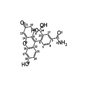 NC(=O)c1ccc(C2=C3CCC(=O)C=C3Oc3cc(O)ccc32)c(C(O)O)c1